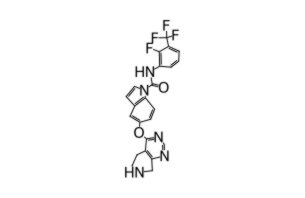 O=C(Nc1cccc(C(F)(F)F)c1F)n1ccc2cc(Oc3ncnc4c3CCNC4)ccc21